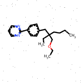 CCCCC(CC)(COCC)Cc1ccc(-c2ncccn2)cc1